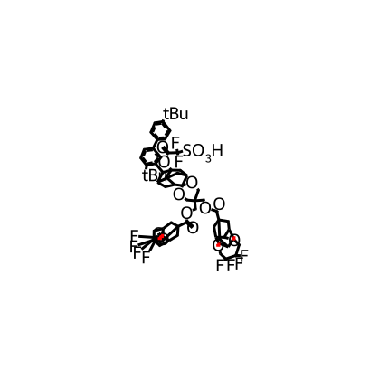 CC(C)(C)c1ccc(-c2ccc(C(C)(C)C)c(C3C4CC5CC3(OC(=O)C(F)(F)S(=O)(=O)O)CC(C4)C53OCC(COC(=O)C45CC6CC(C4)C4(OCC(F)(F)C(F)(F)CO4)C(C6)C5)(COC(=O)C45CC6CC(C4)C4(OCC(F)(F)C(F)(F)CO4)C(C6)C5)CO3)c2)cc1